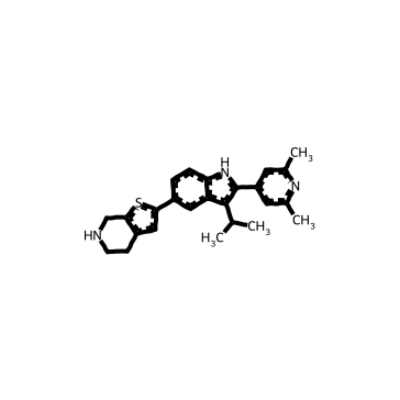 Cc1cc(-c2[nH]c3ccc(-c4cc5c(s4)CNCC5)cc3c2C(C)C)cc(C)n1